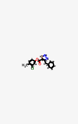 Cc1ccc(OC(=O)c2snnc2Cc2ccccc2)cc1Cl